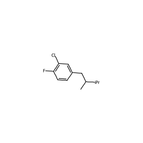 CC(C)C(C)Cc1ccc(F)c(Cl)c1